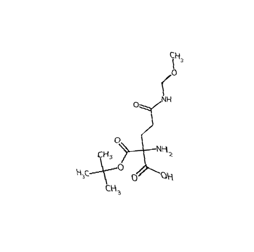 COCNC(=O)CCC(N)(C(=O)O)C(=O)OC(C)(C)C